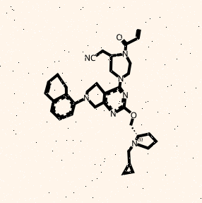 C=CC(=O)N1CCN(c2nc(OC[C@@H]3CCCN3CC3CC3)nc3c2CCN(c2cccc4c2CCC=C4)C3)CC1CC#N